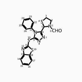 O=CN1CCSC1c1nnc(Sc2nc3ccccc3s2)n1-c1ccccc1